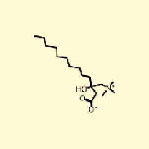 CCCCCCCCCCC(O)(CC(=O)[O-])C[N+](C)(C)C